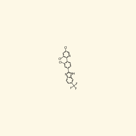 FC(F)(F)c1ccc2nc(-c3ccc(-c4ncc(Cl)cc4Cl)c(Cl)c3)[nH]c2c1